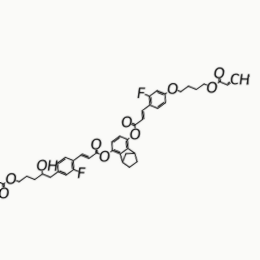 C=CC(=O)OCCCCOc1ccc(/C=C/C(=O)Oc2ccc(OC(=O)/C=C/c3ccc(CC(O)CCCOC(=O)C=C)cc3F)c3c2C2CCC3C2)c(F)c1